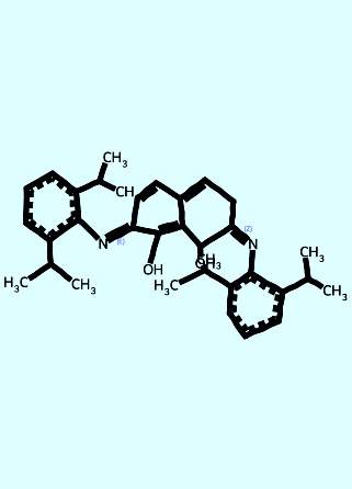 CC(C)c1cccc(C(C)C)c1/N=C1/CC=C2C=C/C(=N\c3c(C(C)C)cccc3C(C)C)C(O)=C2C1O